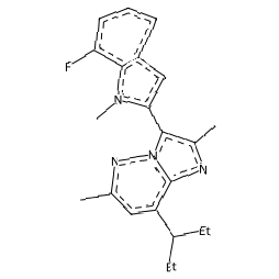 CCC(CC)c1cc(C)nn2c(-c3cc4cccc(F)c4n3C)c(C)nc12